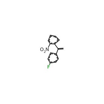 C=C(c1ccc(F)cc1)c1ccccc1[N+](=O)[O-]